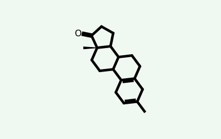 CC1=CCC2=C(CCC3C2CC[C@]2(C)C(=O)CCC32)C1